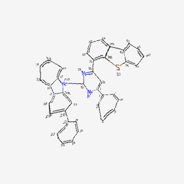 C1=C(c2ccccc2)NC(n2c3ccccc3c3ccc(-c4ccccc4)cc32)N=C1c1cccc2c1sc1ccccc12